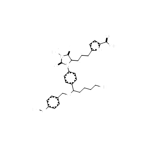 CCCCCC(OCc1ccc(OC)cc1)c1ccc(N2C(=O)N(C)C(=O)C2CCCc2ccc(C(=O)O)s2)cc1